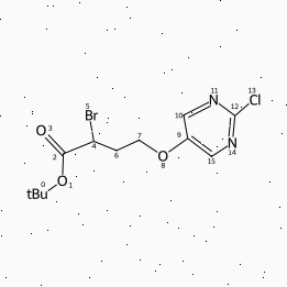 CC(C)(C)OC(=O)C(Br)CCOc1cnc(Cl)nc1